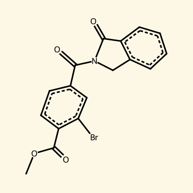 COC(=O)c1ccc(C(=O)N2Cc3ccccc3C2=O)cc1Br